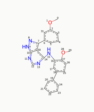 COc1cccc(-c2n[nH]c3ncnc(Nc4cc(-c5ccccc5)ccc4OC)c23)c1